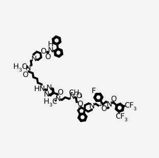 CN(CCN1CCC(OC(=O)Nc2ccccc2-c2ccccc2)CC1)C(=O)CCCCCNc1ncc(C(=O)N(C)CCCN(C)C(=O)CO[C@H]2Cc3ccccc3C23CCN(CC[C@]2(c4ccc(F)cc4)CN(C(=O)c4cc(C(F)(F)F)cc(C(F)(F)F)c4)CO2)CC3)cn1